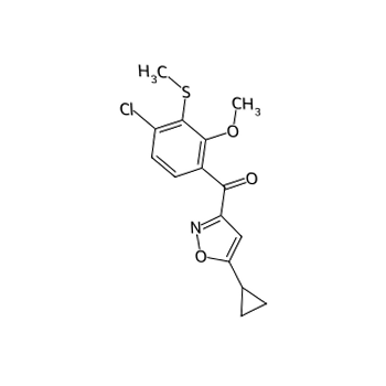 COc1c(C(=O)c2cc(C3CC3)on2)ccc(Cl)c1SC